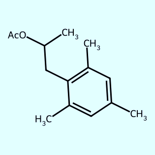 [CH2]C(=O)OC(C)Cc1c(C)cc(C)cc1C